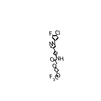 O=C(CO[C@H]1C[C@@H](OC(F)(F)F)C1)NC12CC(c3cnn(-c4ccc(Cl)c(F)c4)c3)(C1)C2